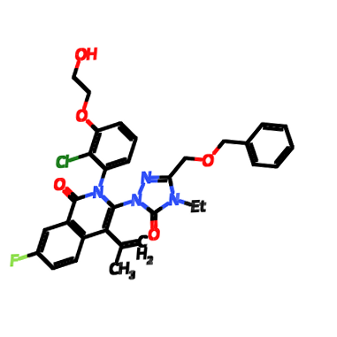 C=C(C)c1c(-n2nc(COCc3ccccc3)n(CC)c2=O)n(-c2cccc(OCCO)c2Cl)c(=O)c2cc(F)ccc12